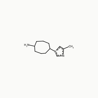 Cc1cn(C2CCCC(N)CCC2)cn1